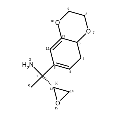 CC(N)(C1=CCC2OCCOC2=C1)[C@@H]1CO1